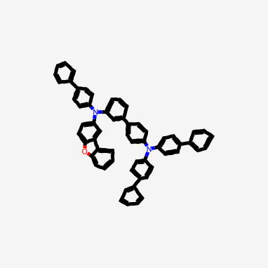 c1ccc(-c2ccc(N(c3ccc(-c4ccccc4)cc3)c3ccc(-c4cccc(N(c5ccc(-c6ccccc6)cc5)c5ccc6oc7ccccc7c6c5)c4)cc3)cc2)cc1